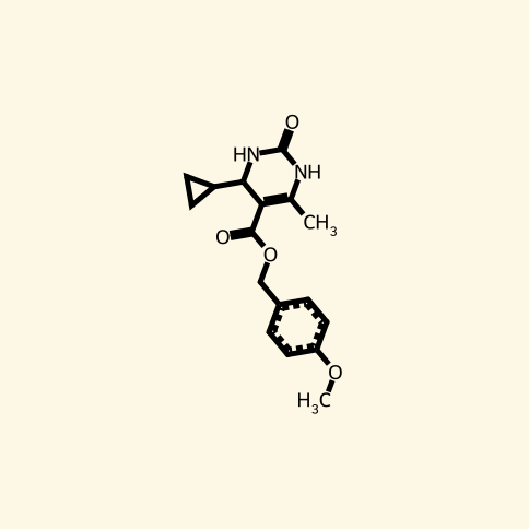 COc1ccc(COC(=O)C2=C(C)NC(=O)NC2C2CC2)cc1